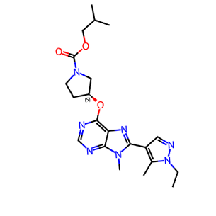 CCn1ncc(-c2nc3c(O[C@H]4CCN(C(=O)OCC(C)C)C4)ncnc3n2C)c1C